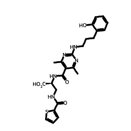 Cc1nc(NCCCc2ccccc2O)nc(C)c1C(=O)N[C@@H](CNC(=O)c1cccs1)C(=O)O